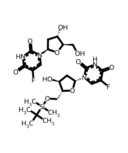 CC(C)(C)[Si](C)(C)OC[C@H]1O[C@@H](n2cc(F)c(=O)[nH]c2=O)C[C@@H]1O.O=c1[nH]c(=O)n([C@H]2C[C@H](O)[C@@H](CO)O2)cc1F